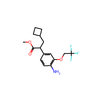 COC(=O)C(CC1CCC1)c1ccc(N)c(OCC(F)(F)F)c1